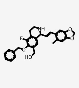 Cc1cc2c(cc1/C=C/C1NCCc3c1cc(CO)c(OCc1ccccc1)c3F)OCO2